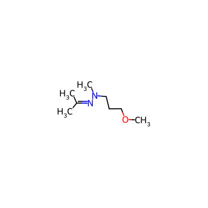 COCCCN(C)N=C(C)C